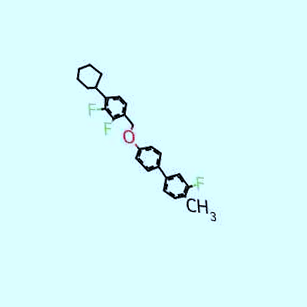 Cc1ccc(-c2ccc(OCc3ccc(C4CCCCC4)c(F)c3F)cc2)cc1F